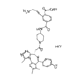 COC(=O)c1ccc(C(=O)NC2CCN(C(=O)C[C@@H]3N=C(c4ccc(Cl)cc4)c4c(sc(C)c4C)-n4c(C)nnc43)CC2)cc1C#CCN.Cl